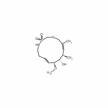 CO[C@H]1/C=C/CCNS(=O)(=O)COC/C(C)=C\[C@@H](C)[C@@H]1O